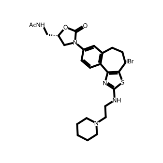 Br.CC(=O)NC[C@H]1CN(c2ccc3c(c2)CCCc2sc(NCCN4CCCCC4)nc2-3)C(=O)O1